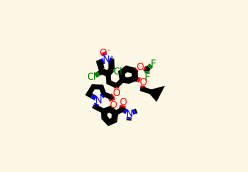 CN(C)C(=O)c1cccc(CN2CCCC2C(=O)OC(Cc2c(Cl)c[n+]([O-])cc2Cl)c2ccc(OC(F)F)c(OCC3CC3)c2)c1